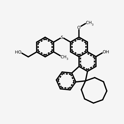 COc1cc2c(O)cc3c(c2cc1Sc1ccc(CO)cc1C)-c1ccccc1C31CCCCCCC1